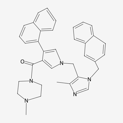 Cc1ncn(Cc2ccc3ccccc3c2)c1Cn1cc(C(=O)N2CCN(C)CC2)c(-c2cccc3ccccc23)c1